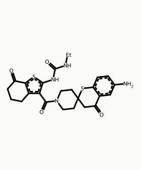 CCNC(=O)Nc1sc2c(c1C(=O)N1CCC3(CC1)CC(=O)c1cc(N)ccc1S3)CCCC2=O